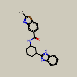 Cc1nc2cc(C(=O)NC3CCCC(c4nc5ccccc5[nH]4)C3)ccc2s1